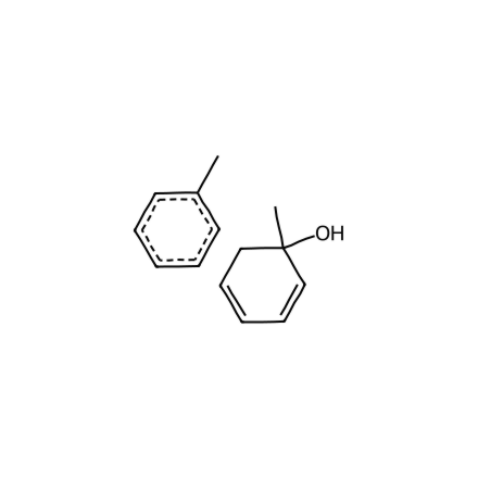 CC1(O)C=CC=CC1.Cc1ccccc1